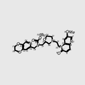 COc1cnc2ccc(=O)n(CCN3CCOC(CN(Cc4cc5c(cn4)OCCO5)C(=O)OC(C)(C)C)C3)c2c1